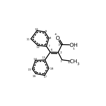 CCC(C(=O)O)=C(c1ccccc1)c1ccccc1